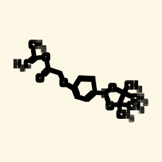 C=C(C)OC(=O)COc1ccc(B2OC(C)(C)C(C)(C)O2)cc1